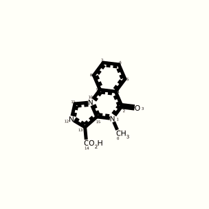 Cn1c(=O)c2ccccc2n2cnc(C(=O)O)c12